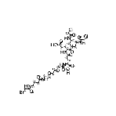 O=C(O)CC[C@H](NC(=O)CC[C@@H](NC(=O)COCCOCCNC(=O)CCCNC(=O)CBr)C(=O)O)C(=O)N(CCNC(=O)CCl)CCNC(=O)CCl